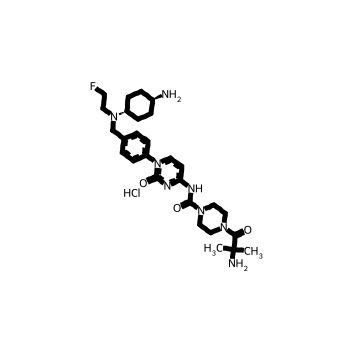 CC(C)(N)C(=O)N1CCN(C(=O)Nc2ccn(-c3ccc(CN(CCF)[C@H]4CC[C@H](N)CC4)cc3)c(=O)n2)CC1.Cl